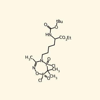 CCOC(=O)C(CCCCN1C(C)=NOP(=O)(Cl)C(C)(C)P1(=O)Cl)NC(=O)OC(C)(C)C